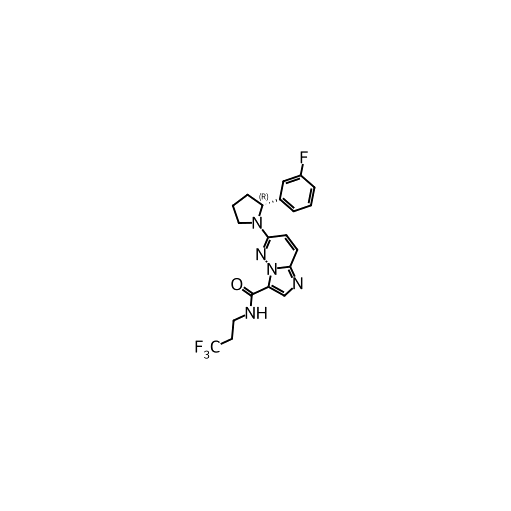 O=C(NCCC(F)(F)F)c1cnc2ccc(N3CCC[C@@H]3c3cccc(F)c3)nn12